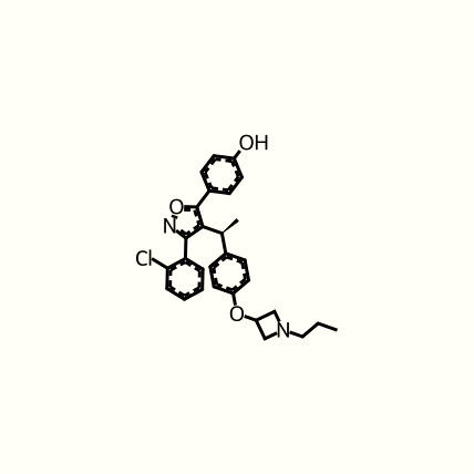 CCCN1CC(Oc2ccc([C@H](C)c3c(-c4ccccc4Cl)noc3-c3ccc(O)cc3)cc2)C1